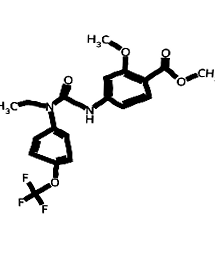 CCN(C(=O)Nc1ccc(C(=O)OC)c(OC)c1)c1ccc(OC(F)(F)F)cc1